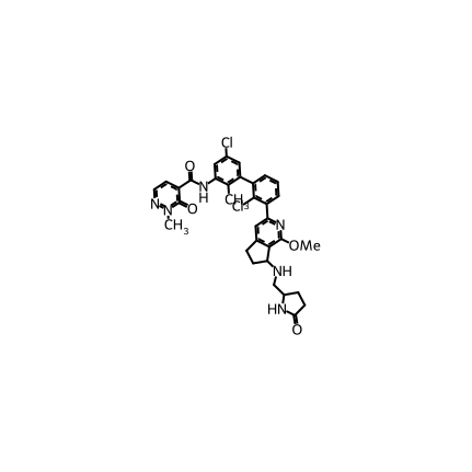 COc1nc(-c2cccc(-c3cc(Cl)cc(NC(=O)c4ccnn(C)c4=O)c3C)c2Cl)cc2c1C(NCC1CCC(=O)N1)CC2